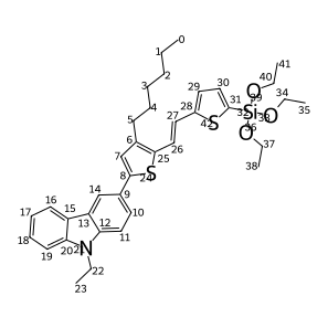 CCCCCCc1cc(-c2ccc3c(c2)c2ccccc2n3CC)sc1/C=C/c1ccc([Si](OCC)(OCC)OCC)s1